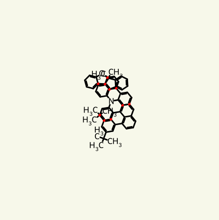 CC(C)(C)c1cc(-c2cccc3cccc(-c4ccccc4N(c4ccccc4-c4ccc5oc6ccccc6c5c4)c4cccc5c4-c4ccccc4C5(C)C)c23)cc(C(C)(C)C)c1